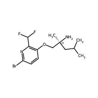 CC(C)C[C@](C)(N)COc1ccc(Br)nc1C(F)F